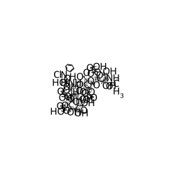 CC(=O)N[C@@H]1[C@@H](O)[C@H](O[C@@H]2O[C@H](C(=O)O)[C@@H](O[C@@H]3O[C@H](CO)[C@@H](O[C@H]4O[C@@H](C(=O)O)[C@H](O)[C@@H](O)[C@@H]4OS(=O)(=O)O)[C@H](OS(=O)(=O)O)[C@H]3NS(=O)(=O)O)[C@H](O)[C@H]2OS(=O)(=O)O)[C@H](COS(=O)(=O)O)O[C@H]1O.ClNc1ccccc1